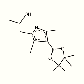 Cc1nn(CC(C)O)c(C)c1B1OC(C)(C)C(C)(C)O1